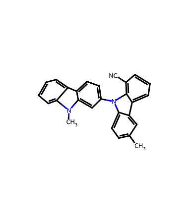 Cc1ccc2c(c1)c1cccc(C#N)c1n2-c1ccc2c3ccccc3n(C)c2c1